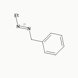 CC/N=N/Cc1ccccc1